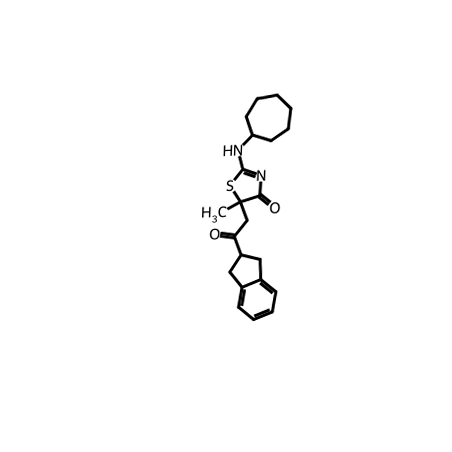 CC1(CC(=O)C2Cc3ccccc3C2)SC(NC2CCCCCC2)=NC1=O